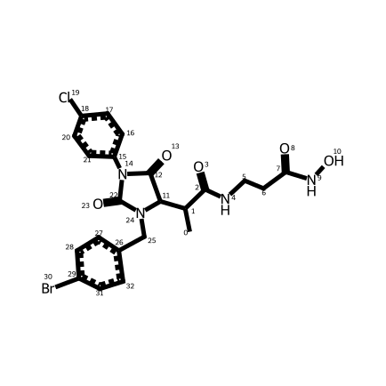 CC(C(=O)NCCC(=O)NO)C1C(=O)N(c2ccc(Cl)cc2)C(=O)N1Cc1ccc(Br)cc1